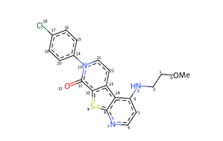 COCCNc1ccnc2sc3c(=O)n(-c4ccc(Cl)cc4)ccc3c12